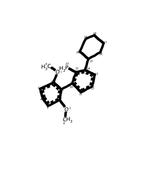 COc1cccc(OC)c1-c1cccc(C2CCCCC2)c1P